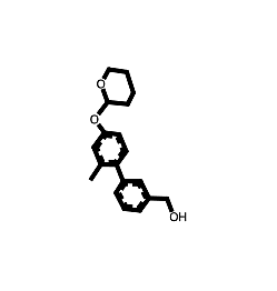 Cc1cc(OC2CCCCO2)ccc1-c1cccc(CO)c1